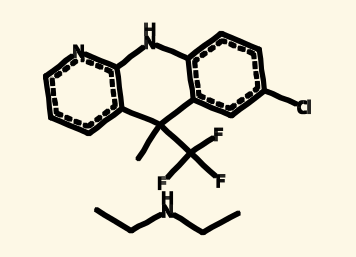 CC1(C(F)(F)F)c2cc(Cl)ccc2Nc2ncccc21.CCNCC